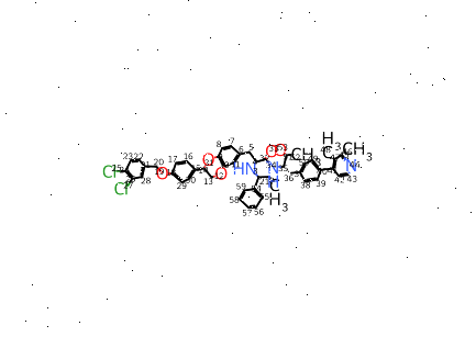 CCC(NC(Cc1ccc2c(c1)OCC(c1ccc(OCc3ccc(Cl)c(Cl)c3)cc1)O2)C(=O)N[C@@H](Cc1ccc(-c2ccnc(C)c2C)cc1)C(C)=O)c1ccccc1